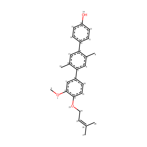 COc1cc(-c2cc(C)c(-c3ccc(O)cc3)cc2C)ccc1OCC=C(C)C